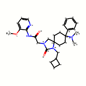 COc1cccnc1NC(=O)CN1CC2(CCC(c3ccccc3)(N(C)C)CC2)N(CC2CCC2)C1=O